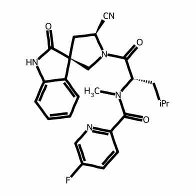 CC(C)C[C@@H](C(=O)N1C[C@]2(C[C@H]1C#N)C(=O)Nc1ccccc12)N(C)C(=O)c1ccc(F)cn1